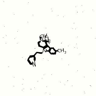 Cc1ccc2c(c1)c1c(n2CCc2cccnc2)CCN(C)C1(F)F